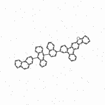 c1ccc2c(c1)ccc1cc(-c3c4ccccc4c(-c4ccc(-c5ccc6c(c5)c5ccccc5c5cc7c(cc65)oc5ccccc57)c5ccccc45)c4ccccc34)ccc12